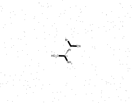 CC(C)[C@H](N)C(=O)O.N#CCBr